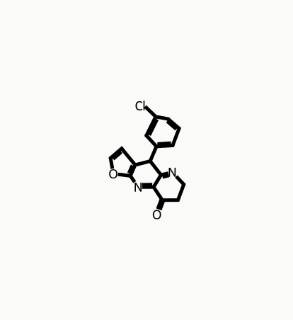 O=C1CCN=C2C1=Nc1occc1C2c1cccc(Cl)c1